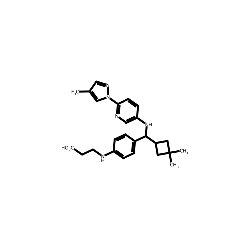 CC1(C)CC(C(Nc2ccc(-n3cc(C(F)(F)F)cn3)nc2)c2ccc(NCCC(=O)O)cc2)C1